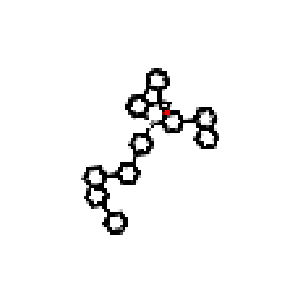 c1ccc(-c2ccc3cccc(-c4cccc(-c5ccc(N(c6ccc(-c7cccc8ccccc78)cc6)c6cccc7c6C6(CC6)c6ccccc6-7)cc5)c4)c3c2)cc1